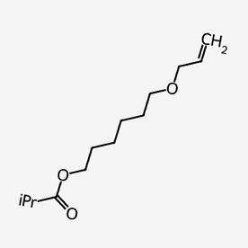 C=CCOCCCCCCOC(=O)C(C)C